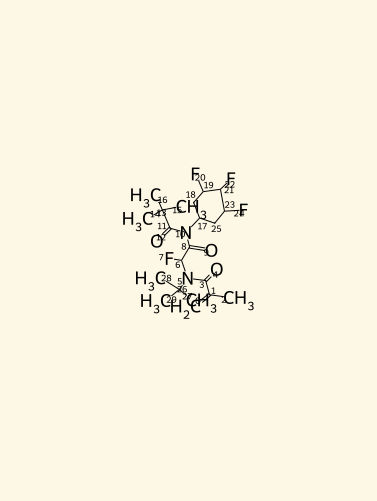 C=C(C)C(=O)N(C(F)C(=O)N(C(=O)C(C)(C)C)C1CC(F)C(F)C(F)C1)C(C)(C)C